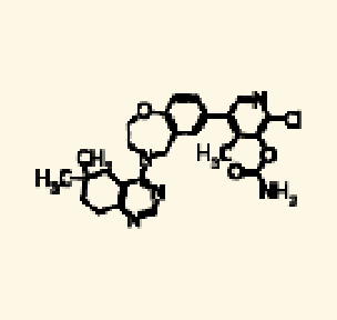 Cc1c(-c2ccc3c(c2)CN(c2ncnc4c2CC(C)(C)CC4)CCO3)cnc(Cl)c1OC(N)=O